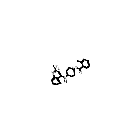 Cc1ccccc1C(=O)NC1CCC(Nc2cc(C(F)(F)F)nc3ccccc23)CC1